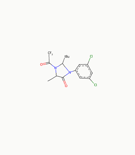 CC1C(=O)N(c2cc(Cl)cc(Cl)c2)C(C(C)(C)C)N1C(=O)C(F)(F)F